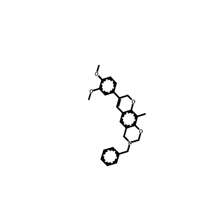 COc1ccc(C2=Cc3cc4c(c(C)c3OC2)OCN(Cc2ccccc2)C4)cc1OC